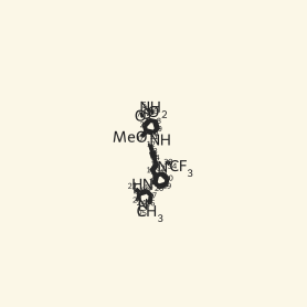 COc1cc(S(N)(=O)=O)ccc1NCC#Cc1cc2c(NC3=C(I)CN(C)CC3)cccc2n1CC(F)(F)F